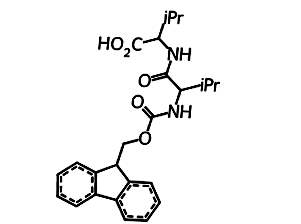 CC(C)C(NC(=O)C(NC(=O)OCC1c2ccccc2-c2ccccc21)C(C)C)C(=O)O